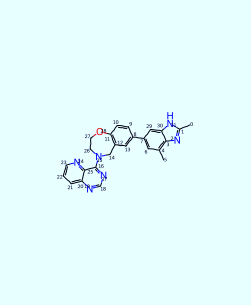 Cc1nc2c(C)cc(-c3ccc4c(c3)CN(c3ncnc5cccnc35)CCO4)cc2[nH]1